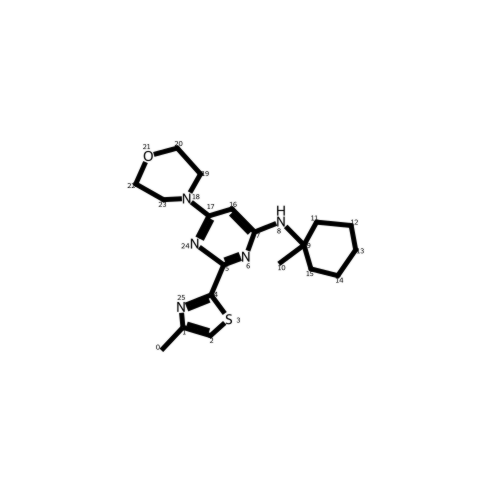 Cc1csc(-c2nc(NC3(C)CCCCC3)cc(N3CCOCC3)n2)n1